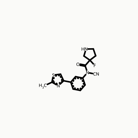 Cc1nc(-c2cccc(N(C#N)C(=O)C3(F)CCNC3)c2)cs1